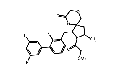 COCC(=O)N1[C@H](C)C[C@@]2(COCC(=O)N2)[C@@H]1Cc1cccc(-c2cc(F)cc(F)c2)c1F